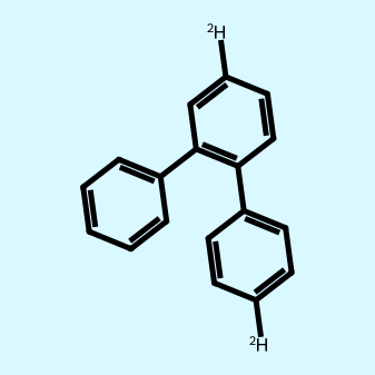 [2H]c1ccc(-c2ccc([2H])cc2-c2ccccc2)cc1